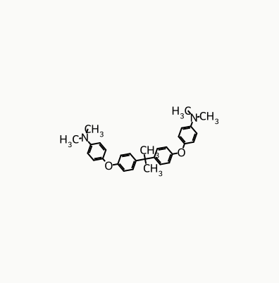 CN(C)c1ccc(Oc2ccc(C(C)(C)c3ccc(Oc4ccc(N(C)C)cc4)cc3)cc2)cc1